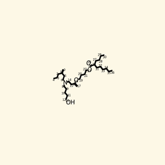 C=C(CCC)CCN(CCCCCO)CCC(=C)OCCCCOC(=O)C(CCCC)CCCCCC